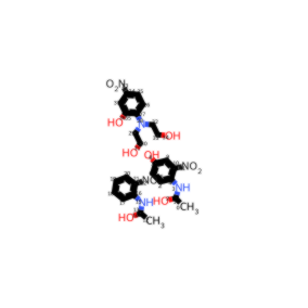 CC(O)Nc1ccc(O)cc1[N+](=O)[O-].CC(O)Nc1ccccc1[N+](=O)[O-].O=[N+]([O-])c1ccc(N(CCO)CCO)c(O)c1